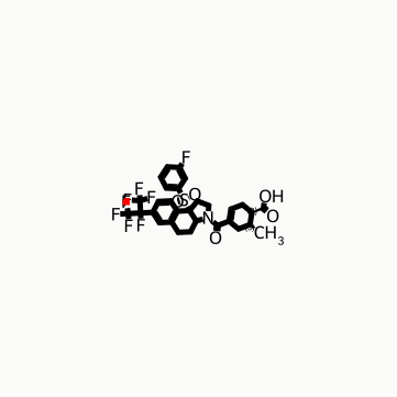 C[C@H]1CC(C(=O)N2CCC3(S(=O)(=O)c4cccc(F)c4)c4ccc(C(F)(C(F)(F)F)C(F)(F)F)cc4CCC23)=CC[C@H]1C(=O)O